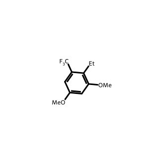 CCc1c(OC)cc(OC)cc1C(F)(F)F